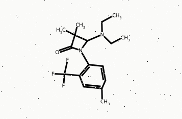 CCN(CC)C1N(c2ccc(C)cc2C(F)(F)F)C(=O)C1(C)C